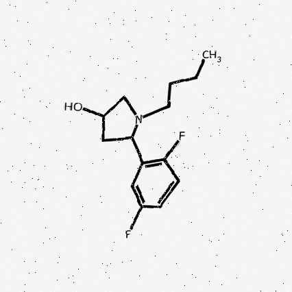 CCCCN1CC(O)CC1c1cc(F)ccc1F